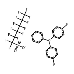 Fc1ccc([S+](c2ccccc2)c2ccc(F)cc2)cc1.O=S(=O)([O-])C(F)(F)C(F)(F)C(F)(F)C(F)(F)C(F)(F)C(F)(F)F